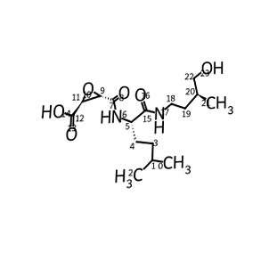 CC(C)CC[C@H](NC(=O)[C@H]1O[C@@H]1C(=O)O)C(=O)NCC[C@H](C)CO